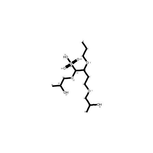 CCCOC(CCOCC(C)O)C(OCC(C)O)S(=O)(=O)O